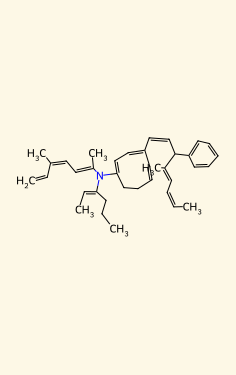 C=C/C(C)=C\C=C(/C)N(/C(=C/C)CCC)/C1=C/C=C(/C=C\C(/C(C)=C/C=C\C)c2ccccc2)\C=C/CC1